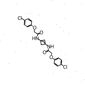 O=C(COc1ccc(Cl)cc1)NC12CC(NC(=O)COc3ccc(Cl)cc3)(C1)C2